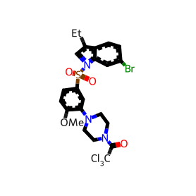 CCc1cn(S(=O)(=O)c2ccc(OC)c(N3CCN(C(=O)C(Cl)(Cl)Cl)CC3)c2)c2cc(Br)ccc12